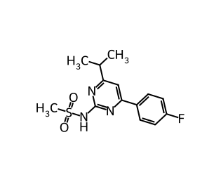 CC(C)c1cc(-c2ccc(F)cc2)nc(NS(C)(=O)=O)n1